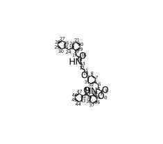 COC(=O)C(Cc1ccc(OCCCNC(=O)Cc2ccccc2Cc2ccccc2)cc1)Nc1ccccc1C(=O)c1ccccc1